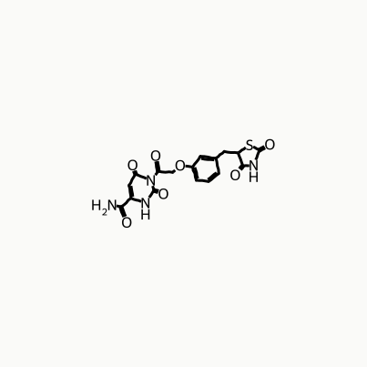 NC(=O)c1cc(=O)n(C(=O)COc2cccc(CC3SC(=O)NC3=O)c2)c(=O)[nH]1